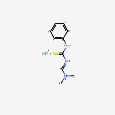 CN(C)C=NC(=S)Nc1ccccc1.Cl